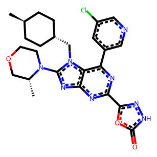 C[C@@H]1COCCN1c1nc2nc(-c3n[nH]c(=O)o3)nc(-c3cncc(Cl)c3)c2n1C[C@H]1CC[C@H](C)CC1